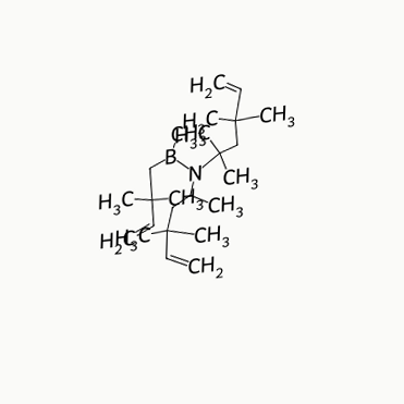 C=CC(C)(C)CB(C)N(C(C)CC(C)(C)C=C)C(C)(C)CC(C)(C)C=C